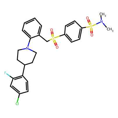 CN(C)S(=O)(=O)c1ccc(S(=O)(=O)Cc2ccccc2N2CCC(c3ccc(Cl)cc3F)CC2)cc1